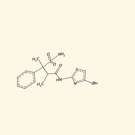 CC(C(=O)Nc1nc(C(C)(C)C)cs1)C(C)(c1ccccc1)S(N)(=O)=O